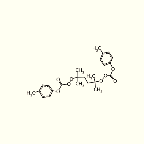 Cc1ccc(OC(=O)OOC(C)(C)CCC(C)(C)OOC(=O)Oc2ccc(C)cc2)cc1